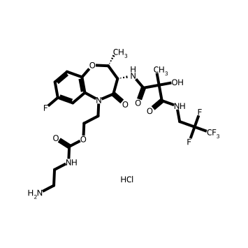 C[C@H]1Oc2ccc(F)cc2N(CCOC(=O)NCCN)C(=O)[C@H]1NC(=O)C(C)(O)C(=O)NCC(F)(F)C(F)(F)F.Cl